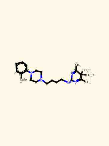 CCOC(=O)C1(C(=O)OCC)C(C)=NC(NCCCCN2CCN(c3ccccc3OC)CC2)N=C1C